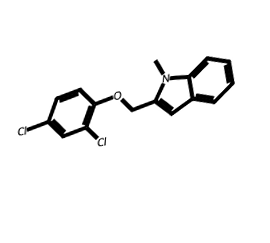 Cn1c(COc2ccc(Cl)cc2Cl)cc2ccccc21